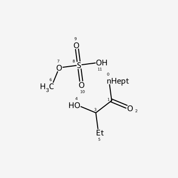 CCCCCCCC(=O)C(O)CC.COS(=O)(=O)O